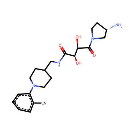 N#Cc1ccccc1N1CCC(CNC(=O)[C@H](O)[C@@H](O)C(=O)N2CC[C@H](N)C2)CC1